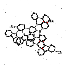 CC(C)(C)c1ccc2c(c1)N(c1ccccc1-c1ccccc1)c1cc(-c3ccc(C(C)(C)C)c(-n4c5ccccc5c5ccccc54)c3-n3c4ccccc4c4ccccc43)cc3c1B2c1ccc(-n2c4ccccc4c4cc(C#N)ccc42)cc1N3c1ccccc1-c1ccccc1